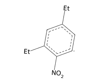 CCc1c[c]c([N+](=O)[O-])c(CC)c1